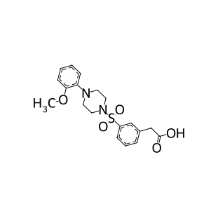 COc1ccccc1N1CCN(S(=O)(=O)c2cccc(CC(=O)O)c2)CC1